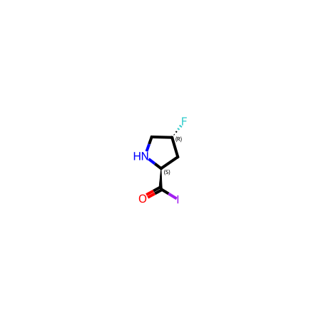 O=C(I)[C@@H]1C[C@@H](F)CN1